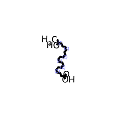 CC/C(O)=C/C/C=C\C/C=C\C/C=C\C/C=C\C/C=C\CCC(=O)O